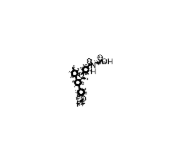 Cc1ccc(-c2ccc(-c3ccc(OC(F)(F)F)cc3)cc2C(C)Oc2ccc(C(=O)NCCC(=O)O)cc2)cc1